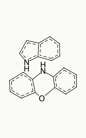 c1ccc2[nH]ccc2c1.c1ccc2c(c1)Nc1ccccc1O2